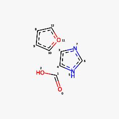 O=CO.c1c[nH]cn1.c1ccoc1